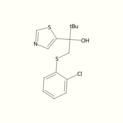 CC(C)(C)C(O)(CSc1ccccc1Cl)c1cncs1